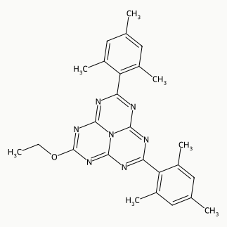 CCOC1=NC2=NC(c3c(C)cc(C)cc3C)=NC3=NC(c4c(C)cc(C)cc4C)=NC(=N1)N23